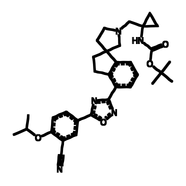 CC(C)Oc1ccc(-c2nc(-c3cccc4c3CCC43CCN(CC4(NC(=O)OC(C)(C)C)CC4)C3)no2)cc1C#N